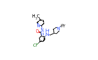 Cc1ccc(NC(=O)c2cc(Cl)ccc2NCC2CCN(C(C)C)CC2)nc1